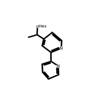 CCCCCCC(C)c1ccnc(-c2ccccn2)c1